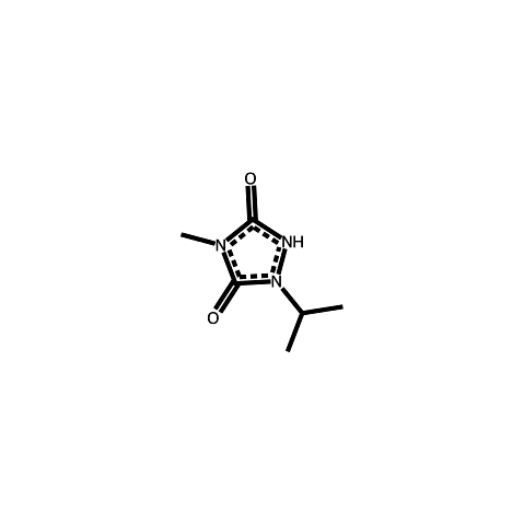 CC(C)n1[nH]c(=O)n(C)c1=O